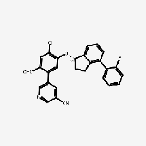 N#Cc1cncc(-c2cc(O[C@H]3CCc4c(-c5ccccc5F)cccc43)c(Cl)cc2C=O)c1